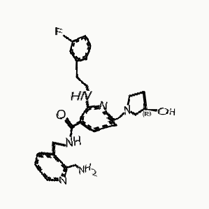 NCc1ncccc1CNC(=O)c1ccc(N2CC[C@@H](O)C2)nc1NCCc1cccc(F)c1